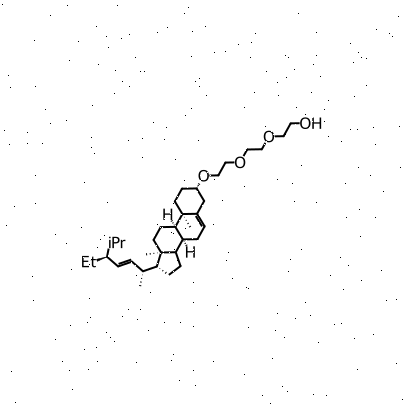 CC[C@H](/C=C/[C@@H](C)[C@H]1CCC2[C@@H]3CC=C4C[C@@H](OCCOCCOCCO)CC[C@]4(C)[C@@H]3CC[C@@]21C)C(C)C